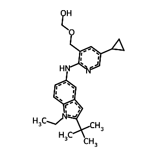 CCn1c(C(C)(C)C)cc2cc(Nc3ncc(C4CC4)cc3COCO)ccc21